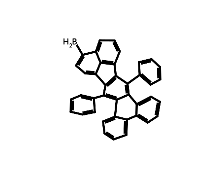 Bc1ccc2c3c(cccc13)-c1c-2c(-c2ccccc2)c2c3ccccc3c3ccccc3c2c1-c1ccccc1